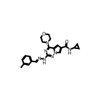 Cc1cccc(/C=N/Nc2nc(N3CCOCC3)c3cc(C(=O)NC4CC4)cn3n2)c1